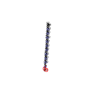 CC(=O)OC/C=C(\C)CC/C=C(\C)CC/C=C(\C)CC/C=C(\C)CC/C=C(\C)CC/C=C(\C)CC/C=C(\C)CC/C=C(\C)CC/C=C(\C)CC/C=C(\C)CCC=C(C)C